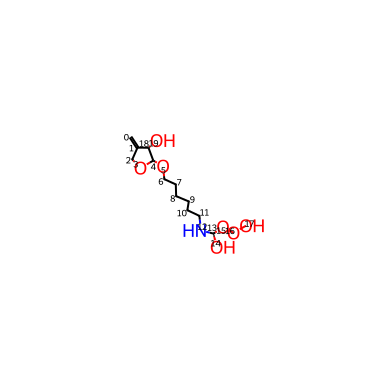 C=C1COC(OCCCCCCN[C@H](O)OOO)C1O